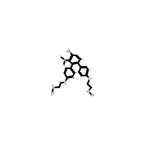 CCOCCOc1ccc(-c2ccc(S)c(N(C)C)c2-c2ccc(OCCOCC)cc2)cc1